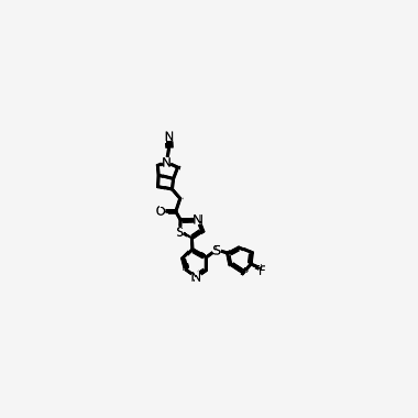 N#CN1CC2CC(CC(=O)c3ncc(-c4ccncc4Sc4ccc(F)cc4)s3)C2C1